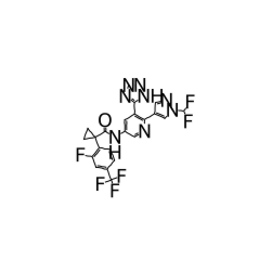 O=C(Nc1cnc(-c2cnn(C(F)F)c2)c(-c2nnn[nH]2)c1)C1(c2ccc(C(F)(F)F)cc2F)CC1